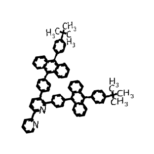 CC(C)(C)c1ccc(-c2c3ccccc3c(-c3ccc(-c4ccc(-c5ccccn5)nc4-c4ccc(-c5c6ccccc6c(-c6ccc(C(C)(C)C)cc6)c6ccccc56)cc4)cc3)c3ccccc23)cc1